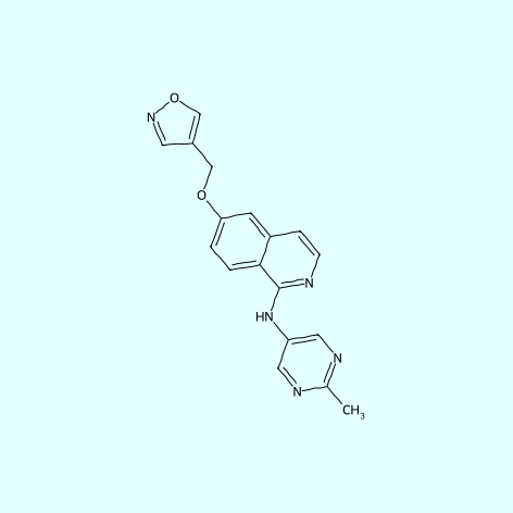 Cc1ncc(Nc2nccc3cc(OCc4cnoc4)ccc23)cn1